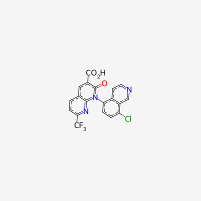 O=C(O)c1cc2ccc(C(F)(F)F)nc2n(-c2ccc(Cl)c3cnccc23)c1=O